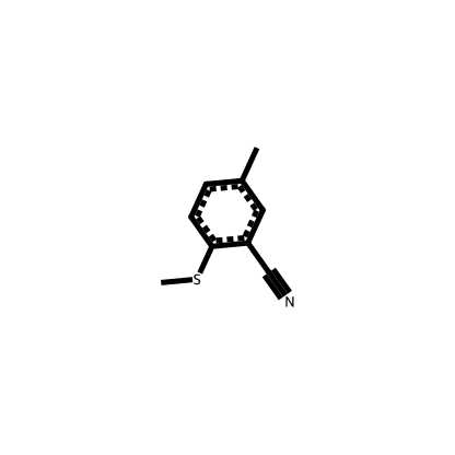 CSc1ccc(C)cc1C#N